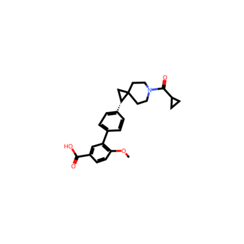 COc1ccc(C(=O)O)cc1-c1ccc([C@@H]2CC23CCN(C(=O)C2CC2)CC3)cc1